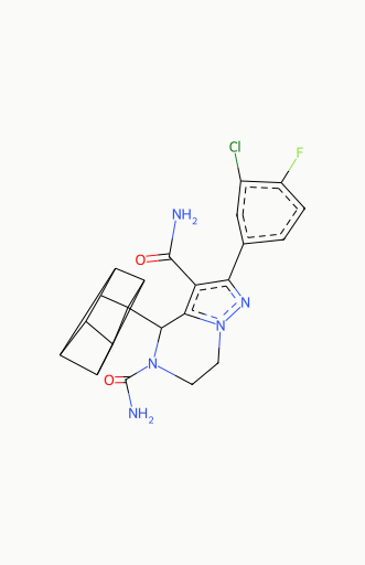 NC(=O)c1c(-c2ccc(F)c(Cl)c2)nn2c1C(C13C4C5C6C4C1C6C53)N(C(N)=O)CC2